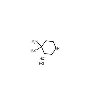 Cl.Cl.NC1(C(F)(F)F)CCNCC1